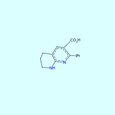 CC(C)c1nc2c(cc1C(=O)O)CCCN2